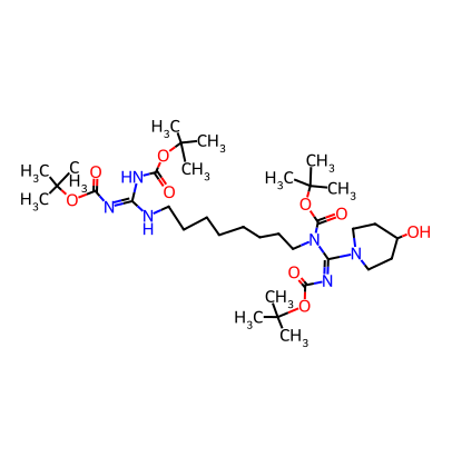 CC(C)(C)OC(=O)/N=C(/NCCCCCCCCN(C(=O)OC(C)(C)C)/C(=N\C(=O)OC(C)(C)C)N1CCC(O)CC1)NC(=O)OC(C)(C)C